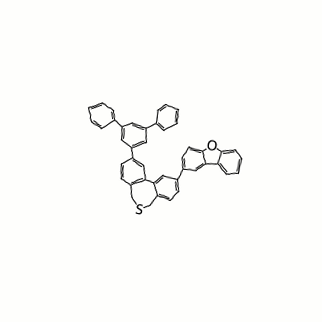 c1ccc(-c2cc(-c3ccccc3)cc(-c3ccc4c(c3)-c3cc(-c5ccc6oc7ccccc7c6c5)ccc3CSC4)c2)cc1